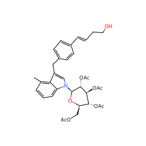 CC(=O)OC[C@H]1O[C@@H](n2cc(Cc3ccc(C=CCCO)cc3)c3c(C)cccc32)[C@H](OC(C)=O)[C@@H](OC(C)=O)[C@@H]1OC(C)=O